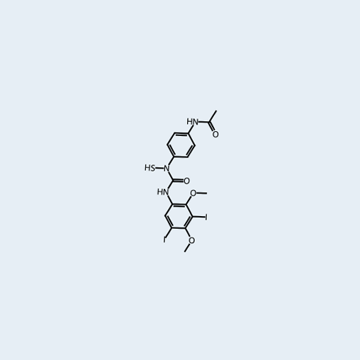 COc1c(I)cc(NC(=O)N(S)c2ccc(NC(C)=O)cc2)c(OC)c1I